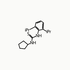 CC(C)c1cccc(C(C)C)c1NC(=S)NC1CCCC1